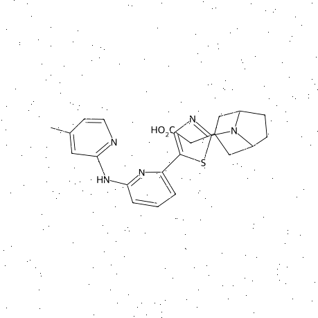 Cc1ccnc(Nc2cccc(-c3cnc(N4C5CCC4CC(CC(=O)O)C5)s3)n2)c1